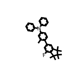 Cc1cc(N(c2ccccc2)c2ccccc2)ccc1-c1cc(F)c2c(c1)C(C)(C)C(C)(C)C2(C)C